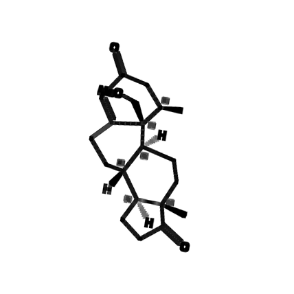 COC[C@@]12C(=CC(=O)C[C@H]1C)CC[C@@H]1[C@@H]2CC[C@]2(C)C(=O)CC[C@@H]12